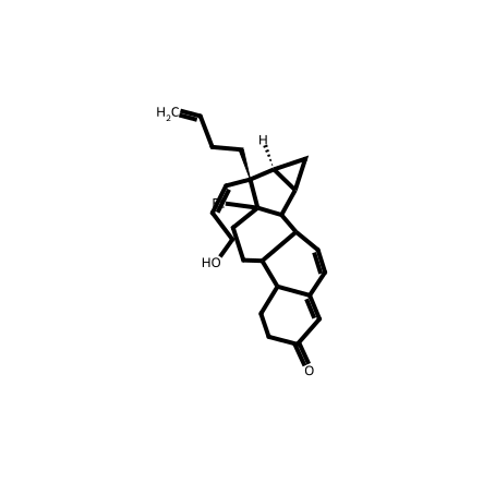 C=CCC[C@@]1(/C=C\CO)[C@H]2CC2C2C3C=CC4=CC(=O)CCC4C3CCC21CC